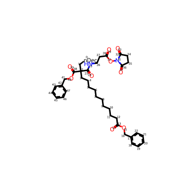 CCCCCCCCCCCC(CCCCCCCCCCC(=O)OCc1ccccc1)(C(=O)NCCC(=O)ON1C(=O)CCC1=O)C(=O)OCc1ccccc1